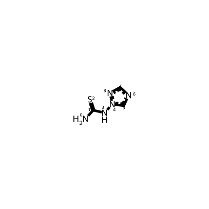 NC(=S)Nn1cncn1